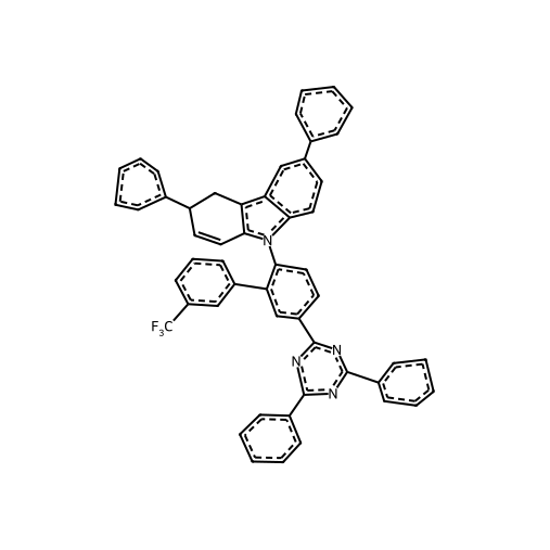 FC(F)(F)c1cccc(-c2cc(-c3nc(-c4ccccc4)nc(-c4ccccc4)n3)ccc2-n2c3c(c4cc(-c5ccccc5)ccc42)CC(c2ccccc2)C=C3)c1